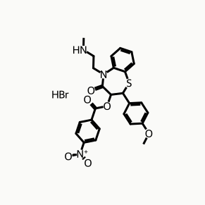 Br.CNCCN1C(=O)C(OC(=O)c2ccc([N+](=O)[O-])cc2)C(c2ccc(OC)cc2)Sc2ccccc21